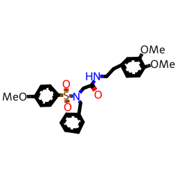 COc1ccc(S(=O)(=O)N(CC(=O)NCCc2ccc(OC)c(OC)c2)Cc2ccccc2)cc1